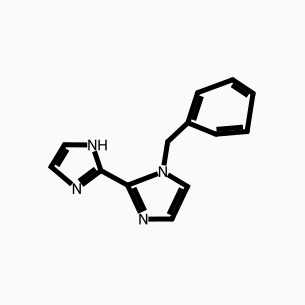 c1ccc(Cn2ccnc2-c2ncc[nH]2)cc1